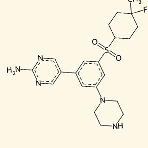 CC1(F)CCC(S(=O)(=O)c2cc(-c3cnc(N)nc3)cc(N3CCNCC3)c2)CC1